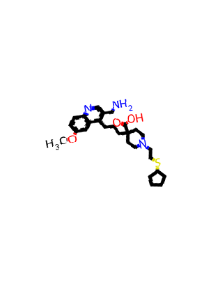 COc1ccc2ncc(CN)c(CCCC3(C(=O)O)CCN(CCSC4CCCC4)CC3)c2c1